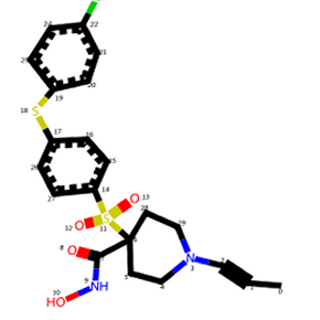 CC#CN1CCC(C(=O)NO)(S(=O)(=O)c2ccc(Sc3ccc(Cl)cc3)cc2)CC1